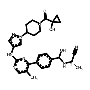 Cc1cnc(Nc2cnn(C3CCN(C(=O)C4(O)CC4)CC3)c2)nc1-c1ccc(C(O)N[C@@H](C)C#N)cc1